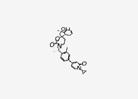 Cc1cc(-c2ccn(C3CC3)c(=O)c2)ccc1[C@H](C)N1CCC(CC(C)(C)O)(c2ccccc2)OC1=O